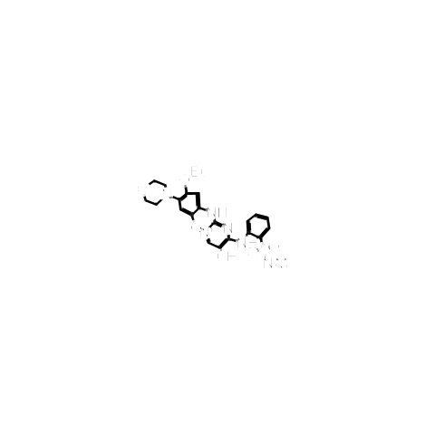 CCOc1cc(Nc2ncc(C)c(Nc3ccccc3S(=O)(=O)NC)n2)c(O)cc1N1CCOCC1